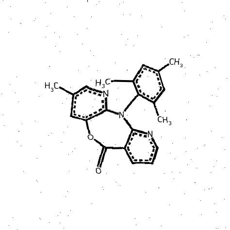 Cc1cc(C)c(N2c3ncc(C)cc3OC(=O)c3cccnc32)c(C)c1